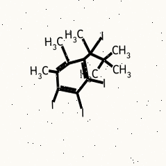 Cc1c(C)c(C(C)(I)C(C)(C)C)c(I)c(I)c1I